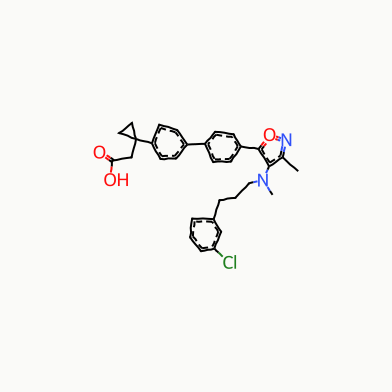 Cc1noc(-c2ccc(-c3ccc(C4(CC(=O)O)CC4)cc3)cc2)c1N(C)CCCc1cccc(Cl)c1